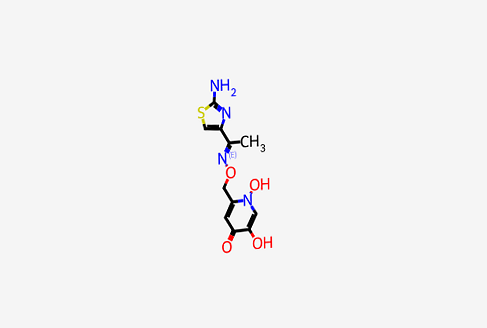 C/C(=N\OCc1cc(=O)c(O)cn1O)c1csc(N)n1